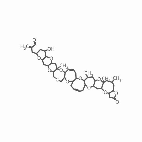 C=C(C=O)CC1CC(O)C2OC3CC4(C)OC5/C=C\CC6OC7C(C)CC8OC9(C)CC(C)CC%10OC(=O)CC%10OC9CC8OC7C/C=C\CC6OC5CCCC4OC3CC2O1